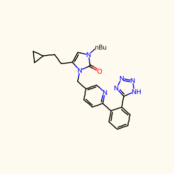 CCCCn1cc(CCC2CC2)n(Cc2ccc(-c3ccccc3-c3nnn[nH]3)nc2)c1=O